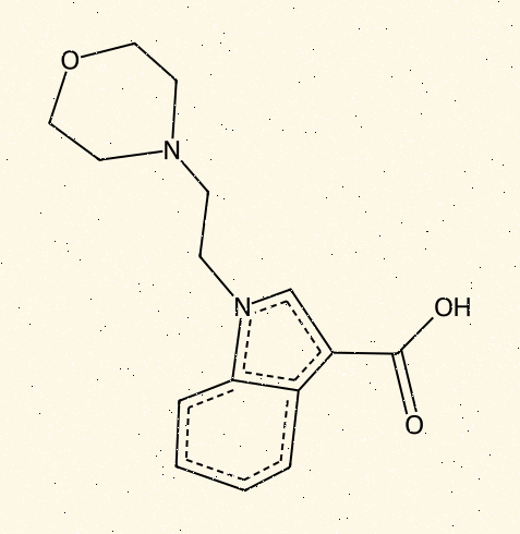 O=C(O)c1cn(CCN2CCOCC2)c2ccccc12